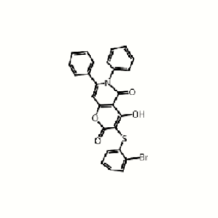 O=c1oc2cc(-c3ccccc3)n(-c3ccccc3)c(=O)c2c(O)c1Sc1ccccc1Br